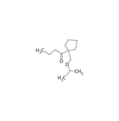 CCCC(=O)C1(COC(C)C)CCCC1